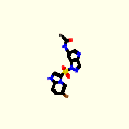 CCC(=O)Nc1cnc2cnn(S(=O)(=O)C3=CNC4C=CC(Br)=CN34)c2c1